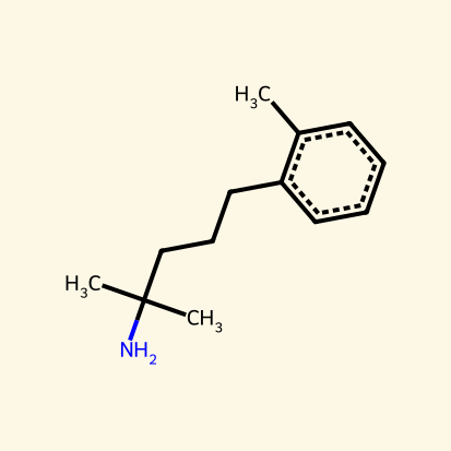 Cc1ccccc1CCCC(C)(C)N